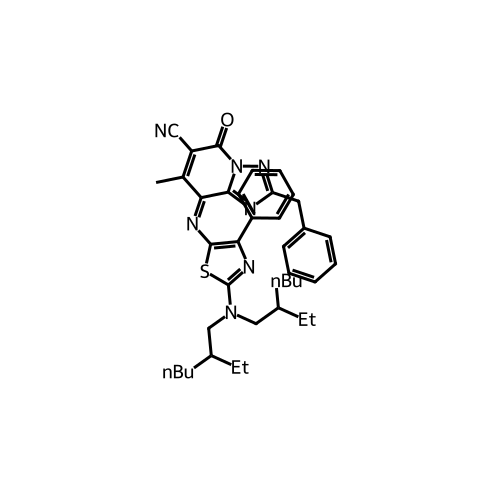 CCCCC(CC)CN(CC(CC)CCCC)c1nc(-c2ccccc2)c(/N=C2/C(C)=C(C#N)C(=O)n3nc(Cc4ccccc4)nc32)s1